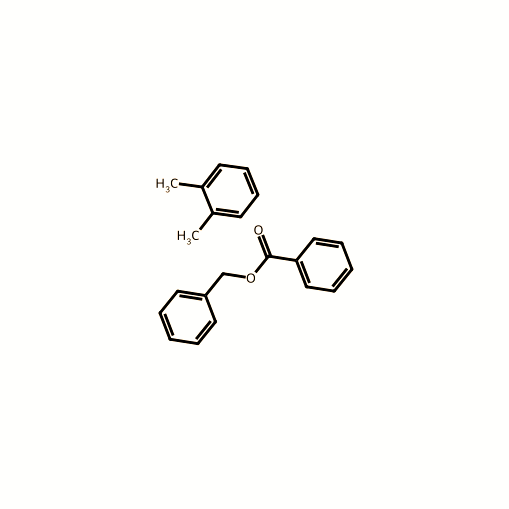 Cc1ccccc1C.O=C(OCc1ccccc1)c1ccccc1